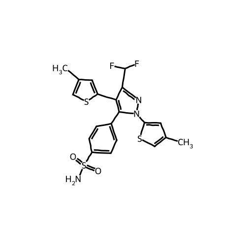 Cc1csc(-c2c(C(F)F)nn(-c3cc(C)cs3)c2-c2ccc(S(N)(=O)=O)cc2)c1